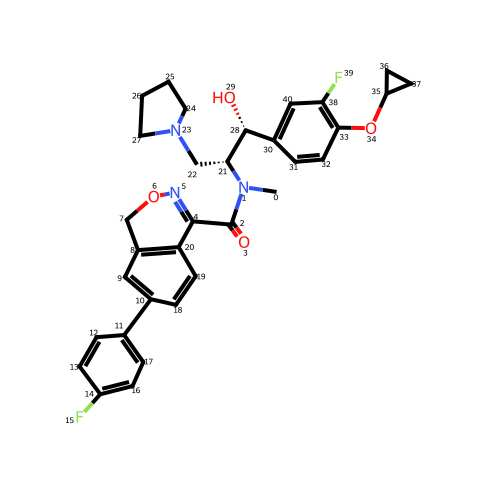 CN(C(=O)C1=NOCc2cc(-c3ccc(F)cc3)ccc21)[C@H](CN1CCCC1)[C@H](O)c1ccc(OC2CC2)c(F)c1